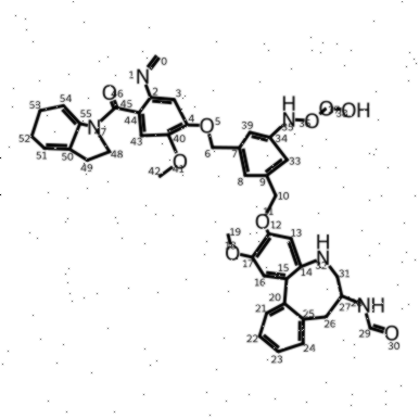 C=Nc1cc(OCc2cc(COc3cc4c(cc3OC)-c3ccccc3CC(NC=O)CN4)cc(NOOO)c2)c(OC)cc1C(=O)N1CCC2=CCCC=C21